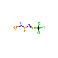 ClC(Cl)(Cl)Cl.P=NPNP